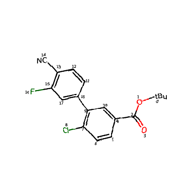 CC(C)(C)OC(=O)c1ccc(Cl)c(-c2ccc(C#N)c(F)c2)c1